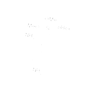 CCCCCC[Si](CCCCN)(OC)OC.N